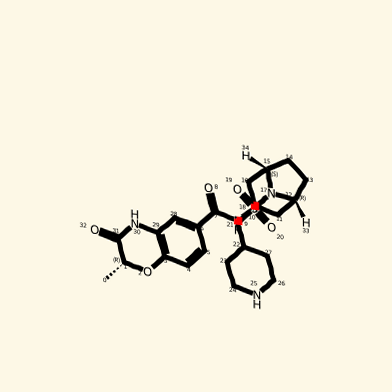 C[C@H]1Oc2ccc(C(=O)N[C@@H]3C[C@H]4CC[C@@H](C3)N4S(=O)(=O)CC3CCNCC3)cc2NC1=O